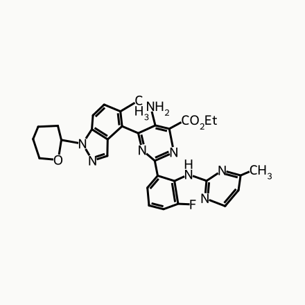 CCOC(=O)c1nc(-c2cccc(F)c2Nc2nccc(C)n2)nc(-c2c(C)ccc3c2cnn3C2CCCCO2)c1N